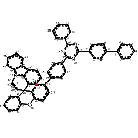 c1ccc(-c2ccc(-c3nc(-c4ccccc4)nc(-c4ccc(-c5ccc6c(c5)C5(c7ccccc7O6)c6ccccc6-n6c7ccccc7c7cccc5c76)cc4)n3)cc2)cc1